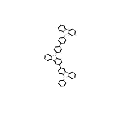 c1ccc(-n2c3ccccc3c3cc(-c4ccc5c(c4)c4ccccc4n5-c4ccc(-c5ccc(-n6c7ccccc7c7ccccc76)cc5)cc4)ccc32)cc1